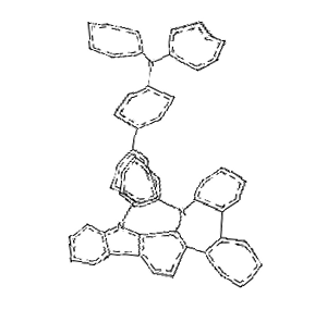 c1ccc(N(c2ccccc2)c2ccc(-c3ccc(-n4c5ccccc5c5ccc6c(c54)N(c4ccccc4)c4ccccc4-c4ccccc4-6)cc3)cc2)cc1